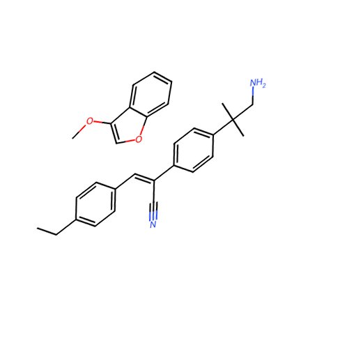 CCc1ccc(/C=C(\C#N)c2ccc(C(C)(C)CN)cc2)cc1.COc1coc2ccccc12